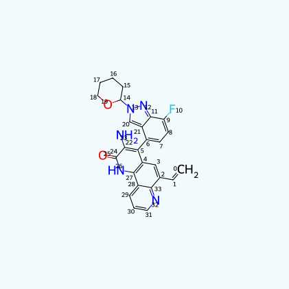 C=Cc1cc2c(-c3ccc(F)c4nn(C5CCCCO5)cc34)c(N)c(=O)[nH]c2c2cccnc12